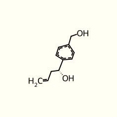 C=CC[C@@H](O)c1ccc(CO)cc1